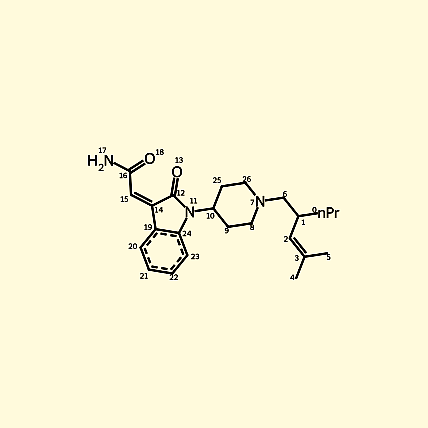 CCCC(C=C(C)C)CN1CCC(N2C(=O)/C(=C\C(N)=O)c3ccccc32)CC1